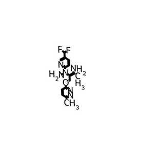 C/C(N)=C(\COc1ccc(C)nn1)N(N)c1ccc(C(F)F)cn1